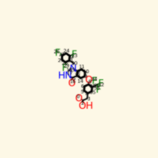 O=C(O)Cc1ccc(Oc2ccc3c(c2)C(=O)NCN3Cc2c(F)cc(F)cc2F)c(C(F)(F)F)c1